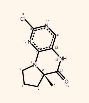 C[C@@]12CCCN1c1nc(Cl)ncc1NC2=O